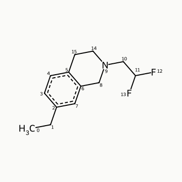 CCc1ccc2c(c1)CN(CC(F)F)CC2